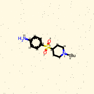 CC(C)(C)N1CCC(S(=O)(=O)c2ccc(N)cc2)CC1